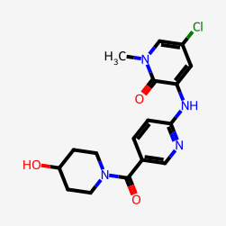 Cn1cc(Cl)cc(Nc2ccc(C(=O)N3CCC(O)CC3)cn2)c1=O